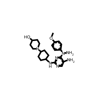 COc1ccc(N(N)c2nc(NC3CCC(N4CCC(O)CC4)CC3)ncc2N)cc1